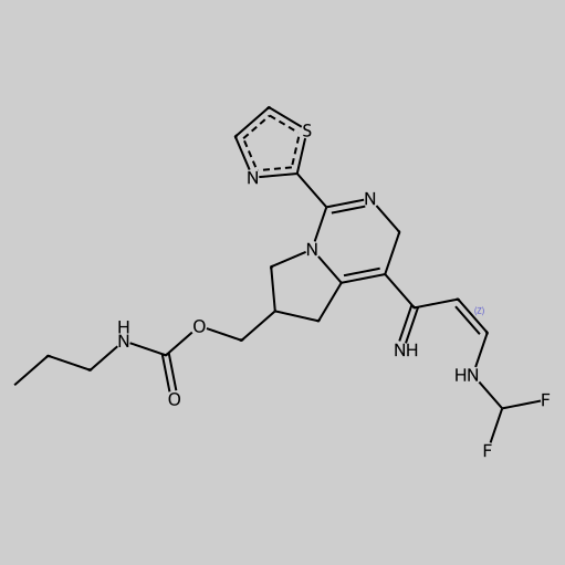 CCCNC(=O)OCC1CC2=C(C(=N)/C=C\NC(F)F)CN=C(c3nccs3)N2C1